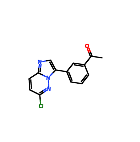 CC(=O)c1cccc(-c2cnc3ccc(Cl)nn23)c1